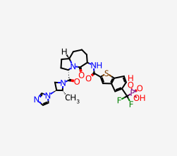 C[C@@H]1[C@@H](n2ccnc2)CN1C(=O)[C@@H]1CC[C@@H]2CCCC(NC(=O)c3cc4cc(C(F)(F)P(=O)(O)O)ccc4s3)C(=O)N21